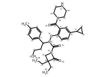 CCCC(c1ccc(C)cc1)N(Oc1ccc(C2CC2)cc1C(=O)N1CCNCC1)C(=O)N1CC(CC)(CC)C1=O